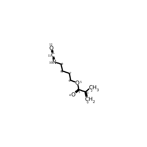 C=C(C)C(=O)OCC[CH]CN=C=O